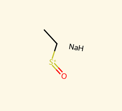 CC[S+]=O.[NaH]